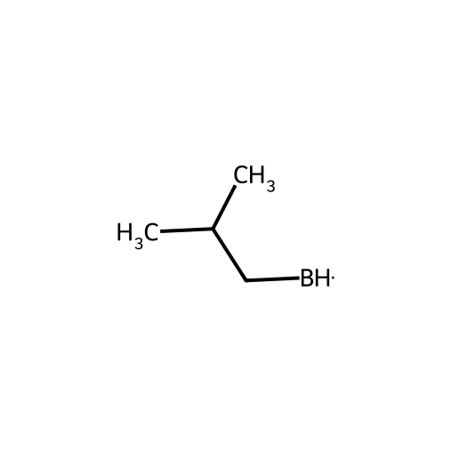 [BH]CC(C)C